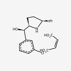 CCC[C@@H]1CC[C@H]([C@H](O)c2cccc(Cl)c2)N1.O=C(O)/C=C\C(=O)O